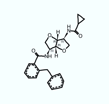 O=C(N[C@H]1CO[C@H]2[C@@H]1OC[C@@H]2NC(=O)C1CC1)c1ccccc1Cc1ccccc1